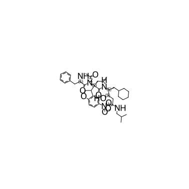 CC(=O)N(C(=O)[C@@H](N)Cc1ccccc1)[C@](CC(C)C)(C(=O)N[C@@H](CC1CCCCC1)[C@@H](O)CC(=O)NCC(C)C)C1COc2ccc([N+](=O)[O-])cc21